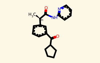 C[C@@H](C(=O)Nc1ccccn1)c1cccc(C(=O)C2CCCC2)c1